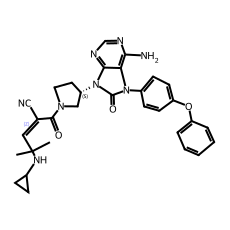 CC(C)(/C=C(/C#N)C(=O)N1CC[C@H](n2c(=O)n(-c3ccc(Oc4ccccc4)cc3)c3c(N)ncnc32)C1)NC1CC1